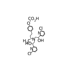 C[C@H](CCc1ccc(OCC(=O)O)cc1)N(CC(O)c1cccc(Cl)n1)CC(O)c1cccc(Cl)n1